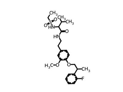 CCS(=O)(=O)NC(C(=O)NCCc1ccc(OCC(C)c2ccccc2F)c(OC)c1)C(C)C